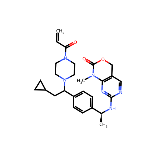 C=CC(=O)N1CCN(C(CC2CC2)c2ccc([C@H](C)Nc3ncc4c(n3)N(C)C(=O)OC4)cc2)CC1